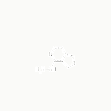 NNc1nccn2cccc12